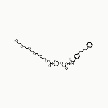 COCCOCCOCCOCCOCCOCC(=O)N1CCC(OCC(=O)ONC(=O)Cc2ccc(CCCCc3ccccc3)cc2)CC1